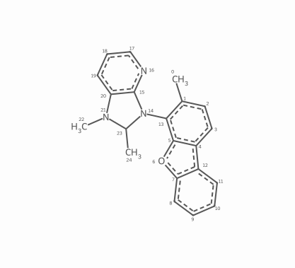 Cc1ccc2c(oc3ccccc32)c1N1c2ncccc2N(C)C1C